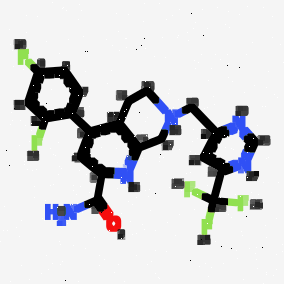 NC(=O)c1cc(-c2ccc(F)cc2F)c2c(n1)CN(Cc1cc(C(F)(F)F)ncn1)CC2